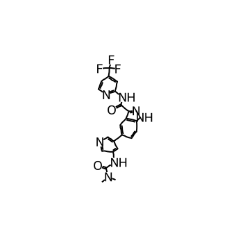 CN(C)C(=O)Nc1cncc(-c2ccc3[nH]nc(C(=O)Nc4cc(C(F)(F)F)ccn4)c3c2)c1